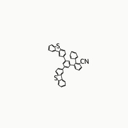 N#Cc1cccc(-c2cc(-c3ccc4sc5ccccc5c4c3)cc(-c3ccc4sc5ccccc5c4c3)c2)c1-c1ccccc1